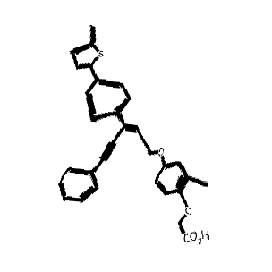 Cc1ccc(-c2ccc(C(C#Cc3ccccc3)=CCOc3ccc(OCC(=O)O)c(C)c3)cc2)s1